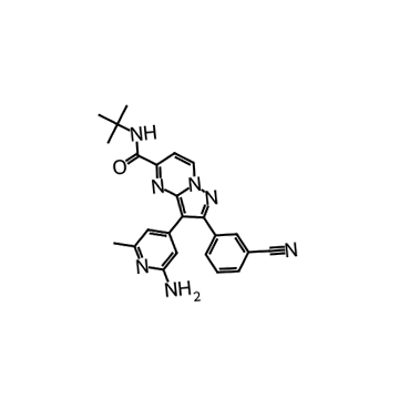 Cc1cc(-c2c(-c3cccc(C#N)c3)nn3ccc(C(=O)NC(C)(C)C)nc23)cc(N)n1